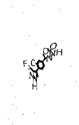 Cc1n[nH]cc1-c1ccc(C2=NNC(=O)OC2)cc1C(F)(F)F